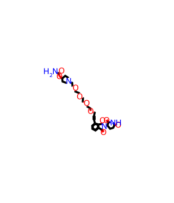 NC(=O)OC1CCN(CCOCCOCCOCCOCC#Cc2cccc3c2C(=O)N(C2CCC(=O)NC2=O)C3=O)CC1